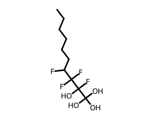 CCCCCCC(F)C(F)(F)C(O)(F)C(O)(O)O